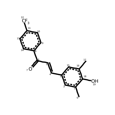 Cc1cc(C=CC(=O)c2ccc(C(F)(F)F)cc2)cc(C)c1O